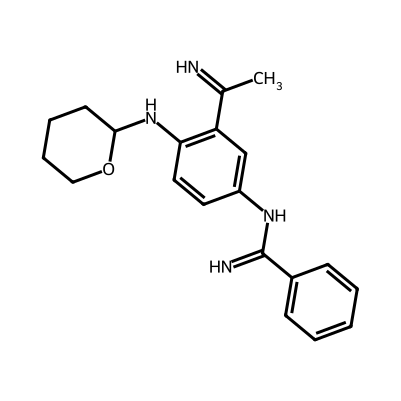 CC(=N)c1cc(NC(=N)c2ccccc2)ccc1NC1CCCCO1